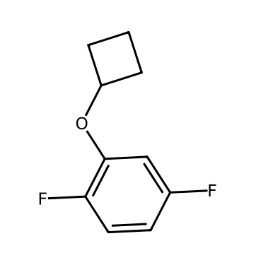 Fc1ccc(F)c(OC2CCC2)c1